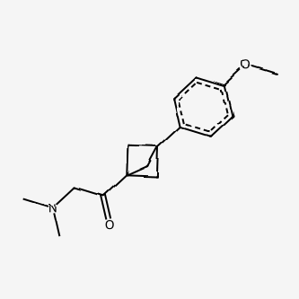 COc1ccc(C23CC(C(=O)CN(C)C)(C2)C3)cc1